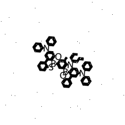 C=C/C=C(\C=C/C)N1c2cc(N(c3ccccc3)c3ccccc3)cc3c2B(Oc2ccccc2-3)c2cc3c(c(C)c21)Oc1cc(N(c2ccccc2)c2ccccc2)cc2c1B3Sc1ccccc1-2